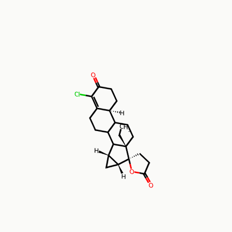 CC[C@]12CCC3C(CCC4=C(Cl)C(=O)CC[C@H]43)C1[C@H]1C[C@H]1[C@@]21CCC(=O)O1